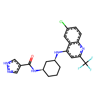 O=C(N[C@@H]1CCC[C@H](Nc2cc(C(F)(F)F)nc3ccc(Cl)cc23)C1)c1cn[nH]c1